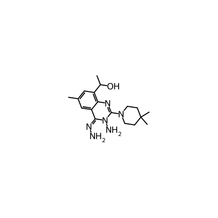 Cc1cc(C(C)O)c2nc(N3CCC(C)(C)CC3)n(N)/c(=N\N)c2c1